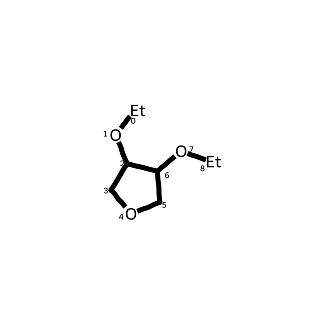 CCOC1COCC1OCC